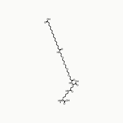 CN[C@@H](CCCCNC(=O)CC[C@@H](NC(=O)CCOCCOCCOCCOCCNC(=O)CCCCCCCCCCCCCCC(=O)O)C(=O)O)C(=O)O